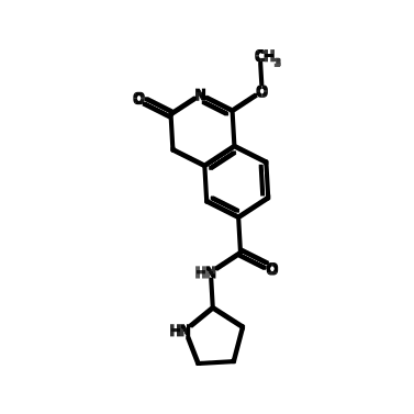 COC1=NC(=O)Cc2cc(C(=O)NC3CCCN3)ccc21